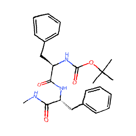 CNC(=O)[C@@H](Cc1ccccc1)NC(=O)[C@@H](Cc1ccccc1)NC(=O)OC(C)(C)C